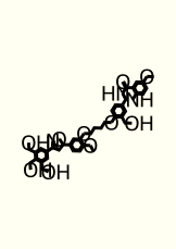 COc1ccc2c(c1)C(=O)NC(c1ccc(OCCCCOc3cc(C4CC(c5cc(CO)c(CO)c(CO)c5)=NO4)ccc3OC)c(CO)c1)N2